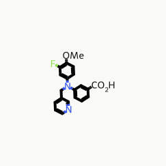 COc1ccc(N(Cc2cccnc2)c2cccc(C(=O)O)c2)cc1F